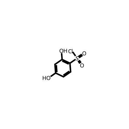 O=S(=O)(Cl)c1ccc(O)cc1O